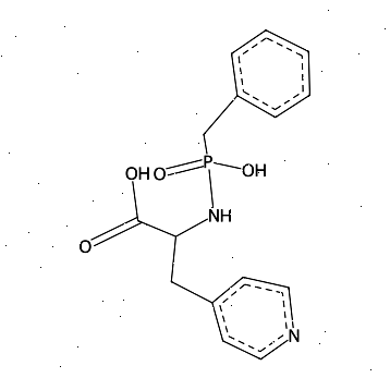 O=C(O)C(Cc1ccncc1)NP(=O)(O)Cc1ccccc1